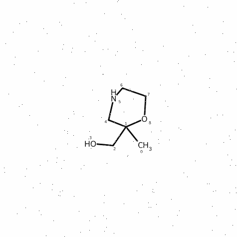 CC1(CO)CNCCO1